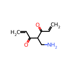 C=CC(=O)C(CN)C(=O)C=C